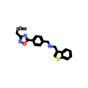 CCCCCCCCCCCc1noc(-c2ccc(C[N]Cc3csc4ccccc34)cc2)n1